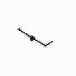 CCCCCCCC/C=C\CCCCCCCCCCCCOC(=O)OCCCCCCCCCCCCCC(C)C